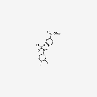 CCS(=O)(=O)N(Cc1ccc(C(=O)OC)cn1)c1ccc(F)c(F)c1